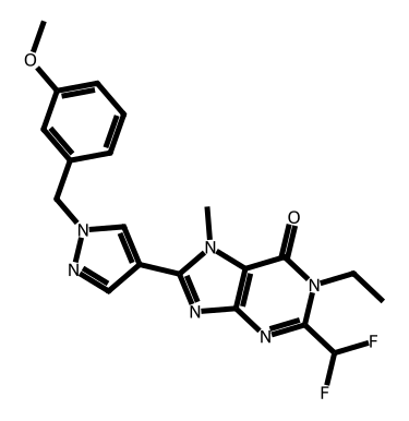 CCn1c(C(F)F)nc2nc(-c3cnn(Cc4cccc(OC)c4)c3)n(C)c2c1=O